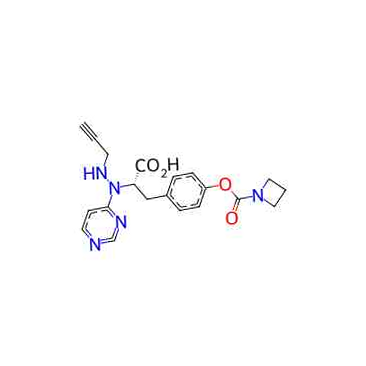 C#CCNN(c1ccncn1)[C@@H](Cc1ccc(OC(=O)N2CCC2)cc1)C(=O)O